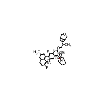 CCc1c(F)ccc2cc(C)cc(-c3c(Cl)cc4c(N5CC6CCC(C5)N6C(=O)OC(C)(C)C)nc(OC[C@H](C)CN5C6CCC5COC6)nc4c3F)c12